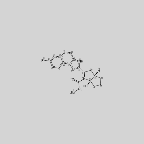 CC(C)(C)OC(=O)N1[C@H](c2nc3c(ccc4cc(Br)ccc43)[nH]2)C[C@@H]2CCC[C@@H]21